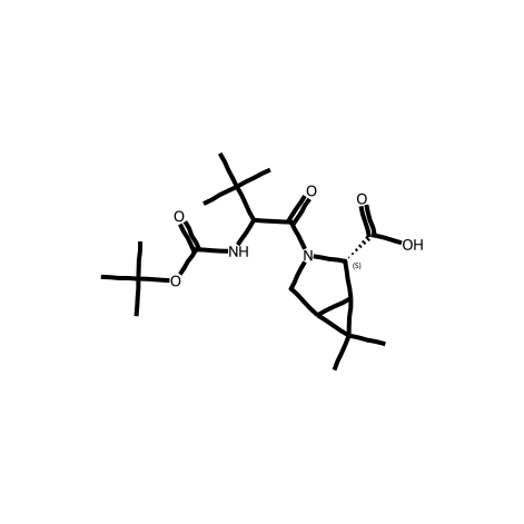 CC(C)(C)OC(=O)NC(C(=O)N1CC2C([C@H]1C(=O)O)C2(C)C)C(C)(C)C